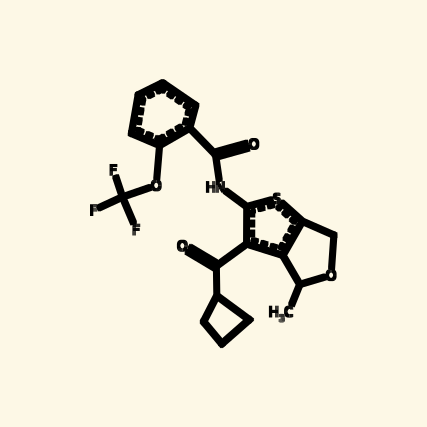 CC1OCc2sc(NC(=O)c3ccccc3OC(F)(F)F)c(C(=O)C3CCC3)c21